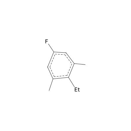 CCc1c(C)cc(F)cc1C